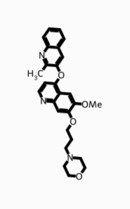 COc1cc2c(Oc3cc4ccccc4nc3C)ccnc2cc1OCCCN1CCOCC1